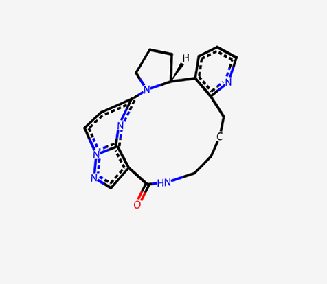 O=C1NCCCCc2ncccc2[C@H]2CCCN2c2ccn3ncc1c3n2